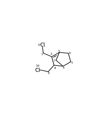 ClCC1=C2CCC(C2)C1CCl